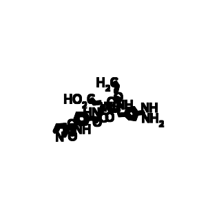 C=CCOC(=O)N[C@@H](Cc1ccc(C(=N)N)cc1)C(=O)N[C@@H](CCC(=O)O)C(=O)NC(=O)c1cccc(NS(=O)(=O)c2cccnc2)c1